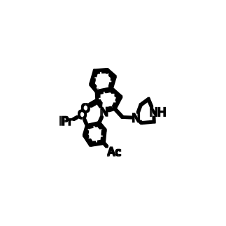 CC(=O)c1ccc(OC(C)C)c(-n2c(CN3CCNCC3)cc3ccccc3c2=O)c1